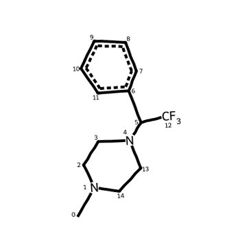 CN1CCN(C(c2ccccc2)C(F)(F)F)CC1